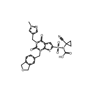 Cn1cc(Cn2c(=O)c3cc(S(=O)(=O)N(C(=O)O)C4(C#N)CC4)sc3n(Cc3ccc4c(c3)COC4)c2=O)cn1